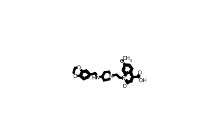 COc1ccc2c(C(=O)O)cc(=O)n(CCN3CCC(NCc4ccc5c(c4)OCCO5)CC3)c2c1